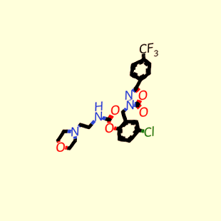 O=C(NCCN1CCOCC1)Oc1ccc(Cl)cc1Cn1nc(-c2ccc(C(F)(F)F)cc2)oc1=O